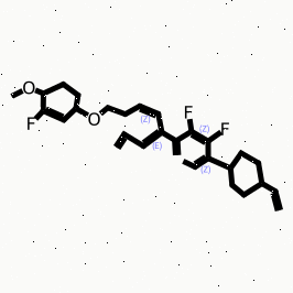 C=C/C=C(\C=C/CCOC1C=C(F)C(OC)CC1)C(=C)/C(F)=C(F)\C(=C/C)C1CCC(C=C)CC1